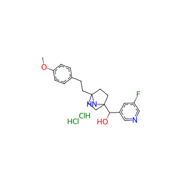 COc1ccc(CCC23CCC(C(O)c4cncc(F)c4)(CC2)N3)cc1.Cl.Cl